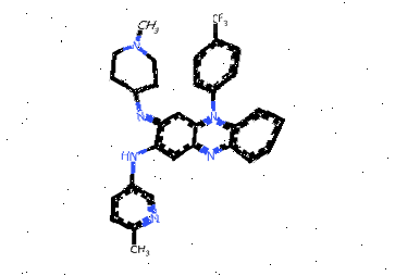 Cc1ccc(Nc2cc3nc4ccccc4n(-c4ccc(C(F)(F)F)cc4)c-3c/c2=N\C2CCN(C)CC2)cn1